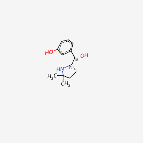 CC1(C)CC[C@@H]([C@@H](O)c2cccc(O)c2)N1